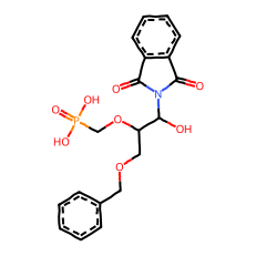 O=C1c2ccccc2C(=O)N1C(O)C(COCc1ccccc1)OCP(=O)(O)O